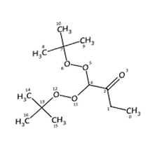 CCC(=O)C(OOC(C)(C)C)OOC(C)(C)C